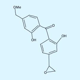 COCc1ccc(C(=O)c2ccc(C3CO3)cc2O)c(O)c1